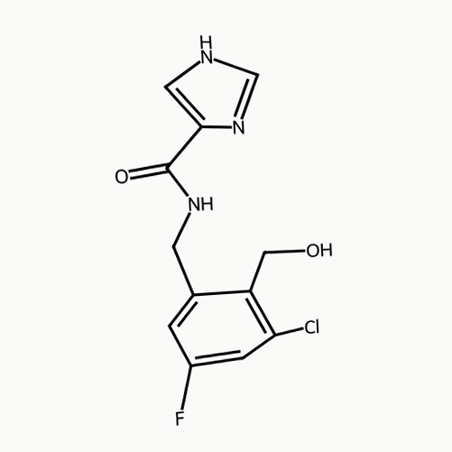 O=C(NCc1cc(F)cc(Cl)c1CO)c1c[nH]cn1